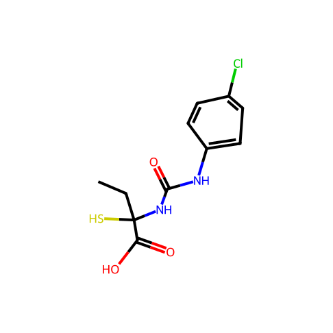 CCC(S)(NC(=O)Nc1ccc(Cl)cc1)C(=O)O